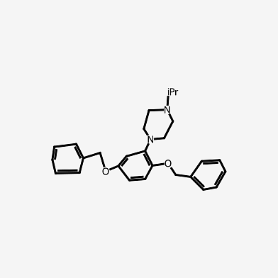 CC(C)N1CCN(c2cc(OCc3ccccc3)ccc2OCc2ccccc2)CC1